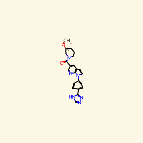 CO[C@H]1CCCN(C(=O)c2cnc3c(ccn3-c3ccc(-c4nnc[nH]4)cc3)c2)C1